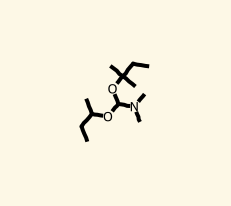 CCC(C)OC(OC(C)(C)CC)N(C)C